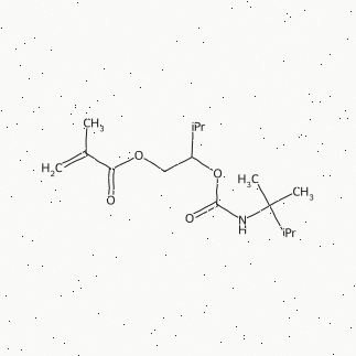 C=C(C)C(=O)OCC(OC(=O)NC(C)(C)C(C)C)C(C)C